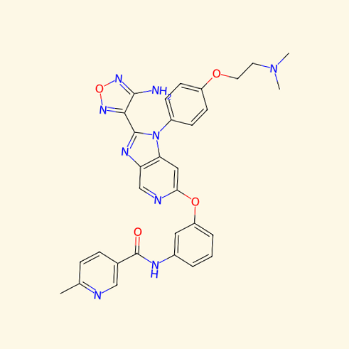 Cc1ccc(C(=O)Nc2cccc(Oc3cc4c(cn3)nc(-c3nonc3N)n4-c3ccc(OCCN(C)C)cc3)c2)cn1